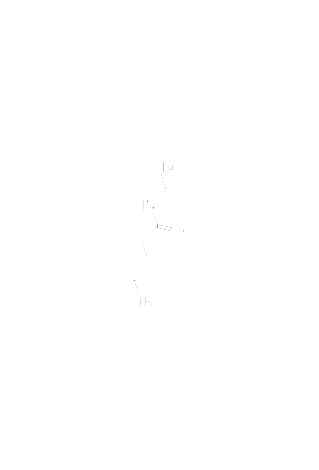 CC(C)(C)CNC(=O)CSCC(C)(C)C